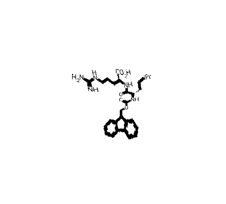 CC(C)CC[C@H](NC(=O)OCC1c2ccccc2-c2ccccc21)C(=O)N[C@@H](CCCNC(=N)N)C(=O)O